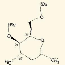 CC1C[C@H](O)[C@@H](OC(C)(C)C)[C@@H](COC(C)(C)C)O1